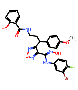 COc1ccc(C(CCNC(=O)c2ccccc2O)c2nonc2C(=NO)Nc2ccc(F)c(Br)c2)cc1